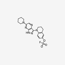 O=S(=O)(F)Oc1ccc2c(c1)CCCN2c1n[nH]c2nc(N3CCCCC3)cnc12